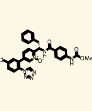 COC(=O)Nc1ccc(C(=O)N[C@@H](Cc2ccccc2)c2ccc(-c3cc(Cl)ccc3-n3cnnn3)c[n+]2[O-])cc1